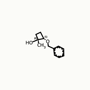 C[C@@]1(O)CC[C@@H]1OCc1ccccc1